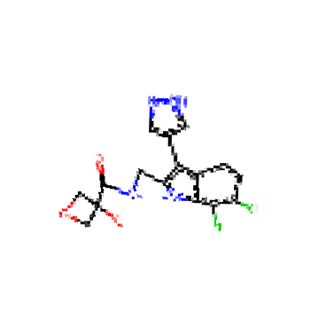 O=C(NCc1[nH]c2c(Cl)c(Cl)ccc2c1-c1cn[nH]c1)C1(O)COC1